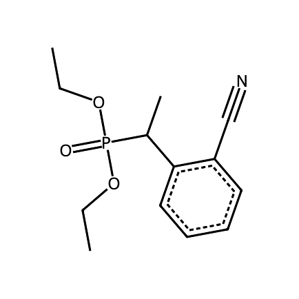 CCOP(=O)(OCC)C(C)c1ccccc1C#N